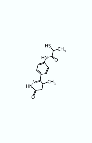 CC(S)C(=O)Nc1ccc(C2=NNC(=O)CC2C)cc1